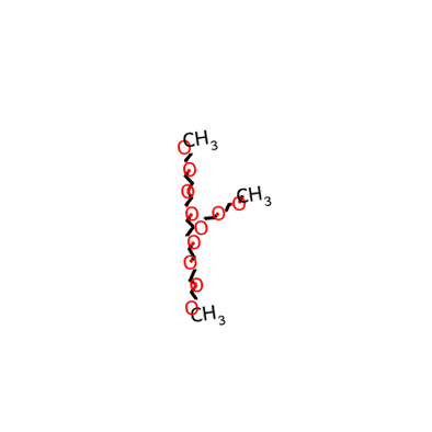 COCCOCCOCCOCC(COCCOCCOCCOC)OCCOCCOC